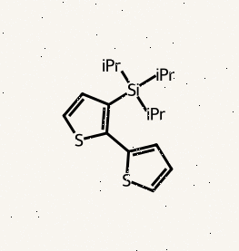 CC(C)[Si](c1ccsc1-c1cccs1)(C(C)C)C(C)C